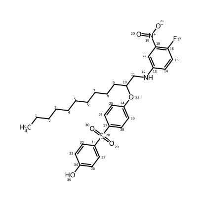 CCCCCCCCCCC(CNc1ccc(F)c([N+](=O)[O-])c1)Oc1ccc(S(=O)(=O)c2ccc(O)cc2)cc1